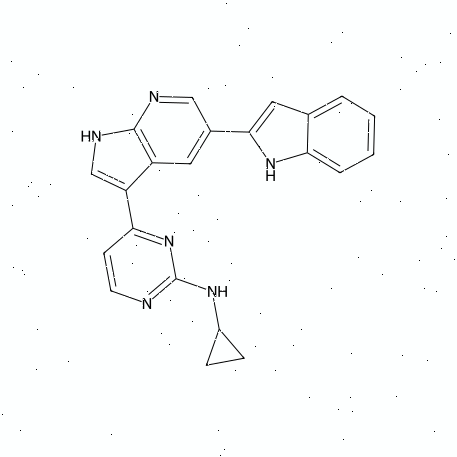 c1ccc2[nH]c(-c3cnc4[nH]cc(-c5ccnc(NC6CC6)n5)c4c3)cc2c1